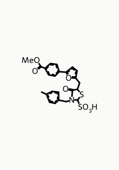 COC(=O)c1ccc(-c2ccc(CC3SC(S(=O)(=O)O)N(Cc4ccc(C)cc4)C3=O)o2)cc1